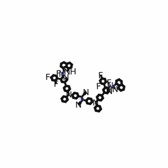 N#C/C(=C(/C#N)c1ccc(N(c2ccccc2)c2ccc(-c3cnc(/N=C4\Nc5cccc6cccc4c56)c(-c4c(F)cc(F)cc4F)c3)cc2)cc1)c1ccc(N(c2ccccc2)c2ccc(-c3cnc(/N=C4\Nc5cccc6cccc4c56)c(-c4c(F)cc(F)cc4F)c3)cc2)cc1